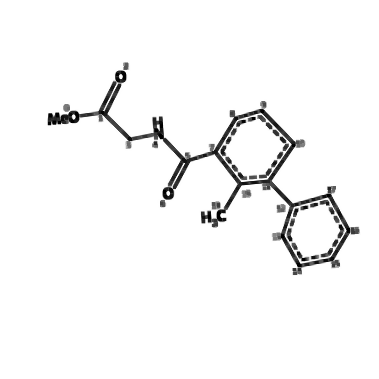 COC(=O)CNC(=O)c1cccc(-c2ccccc2)c1C